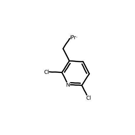 C[C](C)Cc1ccc(Cl)nc1Cl